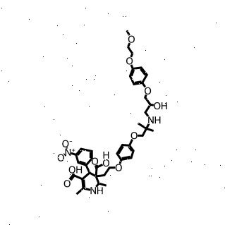 COCCOc1ccc(OCC(O)CNC(C)(C)COc2ccc(OCCC3(C(=O)O)C(C)NC(C)=C(C(=O)O)C3c3cccc([N+](=O)[O-])c3)cc2)cc1